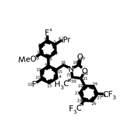 COc1cc(F)c(C(C)C)cc1-c1cc(F)ccc1CN1C(=O)OC(c2cc(C(F)(F)F)cc(C(F)(F)F)c2)[C@@H]1C